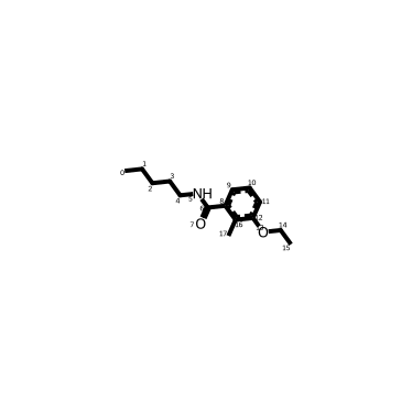 CCCCCNC(=O)c1cccc(OCC)c1C